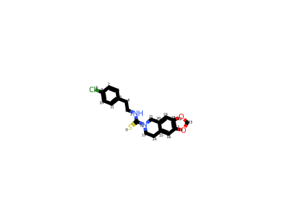 S=C(NCCc1ccc(Cl)cc1)N1CCc2cc3c(cc2C1)OCO3